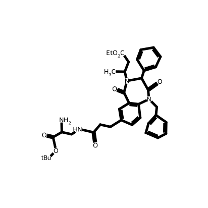 CCOC(=O)CC(C)N1C(=O)c2cc(CCC(=O)NCC(N)C(=O)OC(C)(C)C)ccc2N(Cc2ccccc2)C(=O)C1c1ccccc1